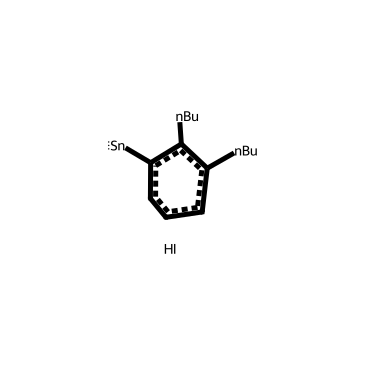 CCCCc1ccc[c]([Sn])c1CCCC.I